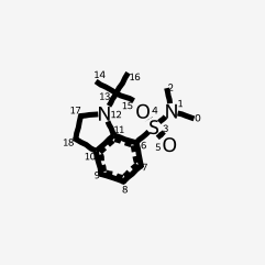 CN(C)S(=O)(=O)c1cccc2c1N(C(C)(C)C)CC2